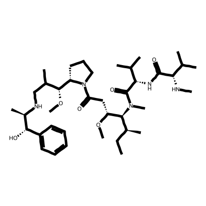 CC[C@H](C)[C@@H]([C@@H](CC(=O)N1CCC[C@H]1[C@H](OC)C(C)CN[C@H](C)[C@@H](O)c1ccccc1)OC)N(C)C(=O)[C@@H](NC(=O)[C@@H](NC)C(C)C)C(C)C